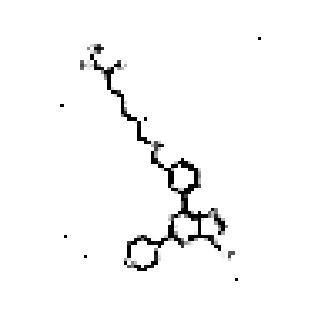 CC(C)n1cnc2c(-c3cccc(CNCCCCCC(=O)NO)c3)nc(N3CCOCC3)nc21